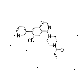 C=CC(=O)N1CCN(c2ncnc3cc(-c4cccnc4)c(Cl)cc23)CC1